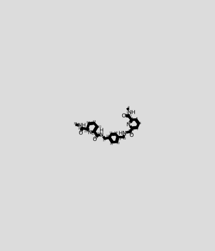 CNC(=O)c1cccc(C(=O)NCc2ccc(CNC(=O)c3cccc(C(=O)NC)n3)cc2)n1